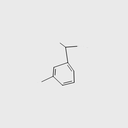 CCOC(=O)C(C)c1cccc(Cl)c1